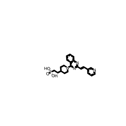 O=P(O)(O)CCC1CCN(c2nc(/C=C/c3cccnc3)nc3ccccc23)CC1